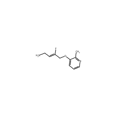 Cc1ncccc1OC/C(F)=C/CN